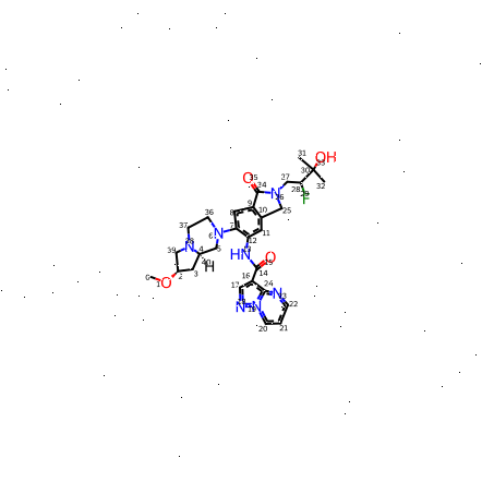 CO[C@@H]1C[C@@H]2CN(c3cc4c(cc3NC(=O)c3cnn5cccnc35)CN(CC(F)C(C)(C)O)C4=O)CCN2C1